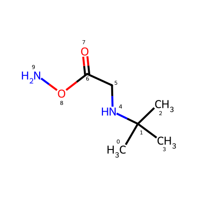 CC(C)(C)NCC(=O)ON